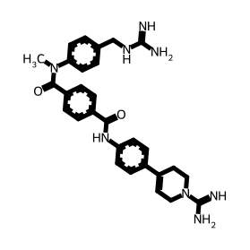 CN(C(=O)c1ccc(C(=O)Nc2ccc(C3=CCN(C(=N)N)CC3)cc2)cc1)c1ccc(CNC(=N)N)cc1